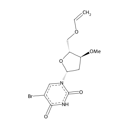 C=COC[C@H]1O[C@@H](n2cc(Br)c(=O)[nH]c2=O)C[C@@H]1OC